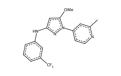 COc1cc(Nc2cccc(C(F)(F)F)c2)nn1-c1ccnc(C)c1